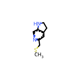 CSCc1cc2c(cn1)NCC2